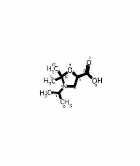 CC(C)N1CC(C(=O)O)OC1(C)C